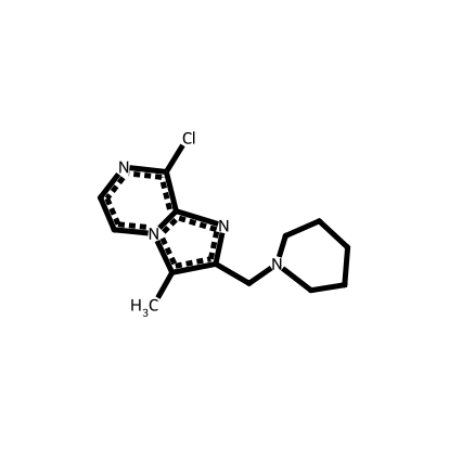 Cc1c(CN2CCCCC2)nc2c(Cl)nccn12